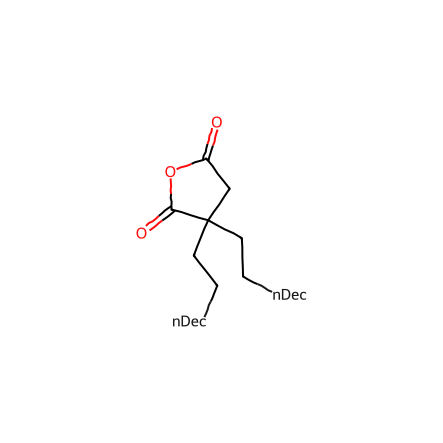 CCCCCCCCCCCCC1(CCCCCCCCCCCC)CC(=O)OC1=O